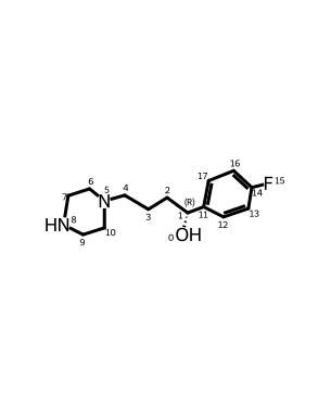 O[C@H](CCCN1CCNCC1)c1ccc(F)cc1